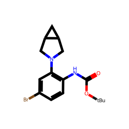 CC(C)(C)OC(=O)Nc1ccc(Br)cc1N1CC2CC2C1